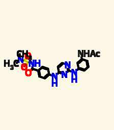 CC(=O)Nc1cccc(Nc2nccc(Nc3ccc(C(=O)NS(=O)(=O)N(C)C)cc3)n2)c1